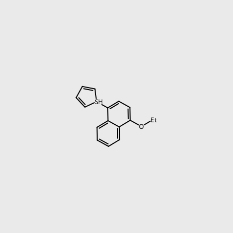 CCOc1ccc([SH]2C=CC=C2)c2ccccc12